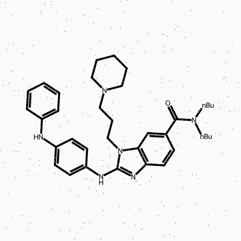 CCCCN(CCCC)C(=O)c1ccc2nc(Nc3ccc(Nc4ccccc4)cc3)n(CCCN3CCCCC3)c2c1